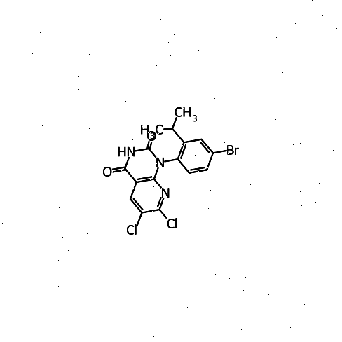 CC(C)c1cc(Br)ccc1-n1c(=O)[nH]c(=O)c2cc(Cl)c(Cl)nc21